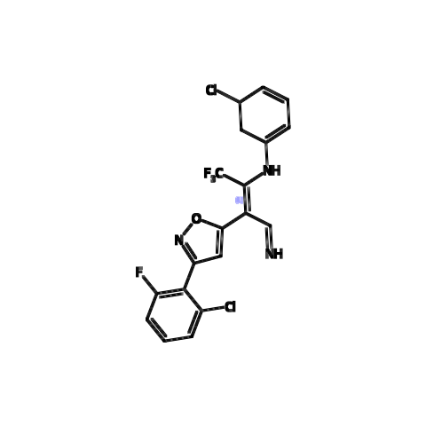 N=C/C(=C(\NC1=CC=CC(Cl)C1)C(F)(F)F)c1cc(-c2c(F)cccc2Cl)no1